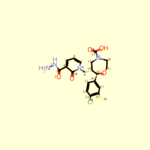 NNC(=O)c1cccn(C[C@@H]2CN(C(=O)O)CCO[C@H]2c2ccc(Cl)c(F)c2)c1=O